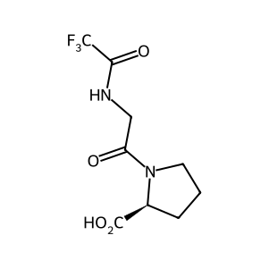 O=C(O)[C@@H]1CCCN1C(=O)CNC(=O)C(F)(F)F